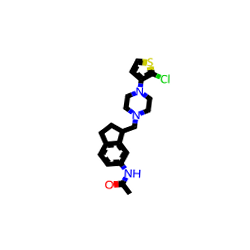 CC(=O)Nc1ccc2c(c1)C(CN1CCN(c3ccsc3Cl)CC1)CC2